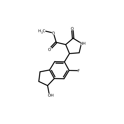 COC(=O)C1C(=O)NCC1c1cc2c(cc1F)C(O)CC2